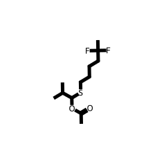 CC(=O)OC(SCCCCC(C)(F)F)C(C)C